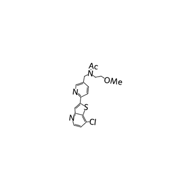 COCCN(Cc1ccc(-c2cc3nccc(Cl)c3s2)nc1)C(C)=O